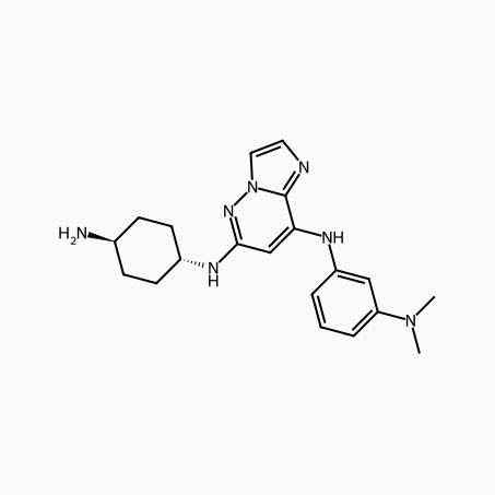 CN(C)c1cccc(Nc2cc(N[C@H]3CC[C@H](N)CC3)nn3ccnc23)c1